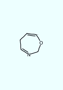 [C]1=CCC=NCO1